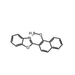 BOc1c(-c2nc3ccccc3o2)ccc2ccccc12